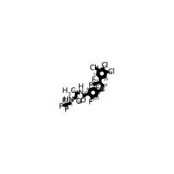 C[C@@H](NC(=O)c1ccc(/C=C\C(c2cc(Cl)c(Cl)c(Cl)c2)C(F)(F)F)cc1F)C(=O)NCC(F)(F)F